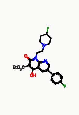 CCOC(=O)c1c(O)c2cc(-c3ccc(F)cc3)cnc2n(CCN2CCC(F)CC2)c1=O